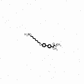 C=C(C(=O)OC)c1ccc(-c2ccc(OCCCCCCCCOC)cc2)cc1